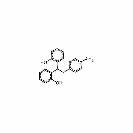 Cc1ccc(CC(c2ccccc2O)c2ccccc2O)cc1